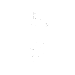 CC(C)(N)OC(COc1ccc2c(c1)C(=O)c1ccccc1C2=O)C(C)(C)C